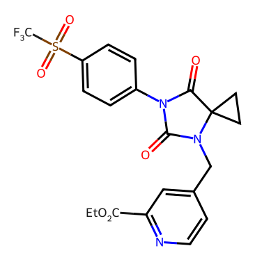 CCOC(=O)c1cc(CN2C(=O)N(c3ccc(S(=O)(=O)C(F)(F)F)cc3)C(=O)C23CC3)ccn1